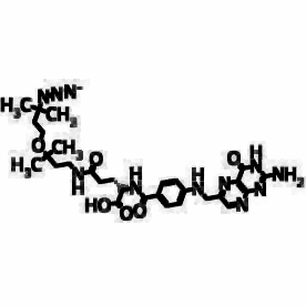 CC(C)(CCOC(C)(C)CCNC(=O)CC[C@H](NC(=O)c1ccc(NCc2cnc3nc(N)[nH]c(=O)c3n2)cc1)C(=O)O)N=[N+]=[N-]